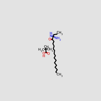 CC(C)(C)C(=O)O.CCCCCCCCCCCCCCCC(=O)C(N)(N)CCC